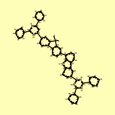 CC1(C)c2cc(-c3cc(-c4ccccc4)nc(-c4ccccc4)n3)ccc2-c2ccc(-c3cccc4c3sc3ccc(-c5nc(-c6ccccc6)nc(-c6ccccc6)n5)cc34)cc21